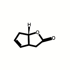 O=C1CC2C=CC[C@@H]2O1